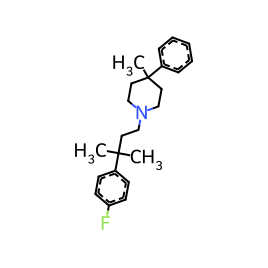 CC(C)(CCN1CCC(C)(c2ccccc2)CC1)c1ccc(F)cc1